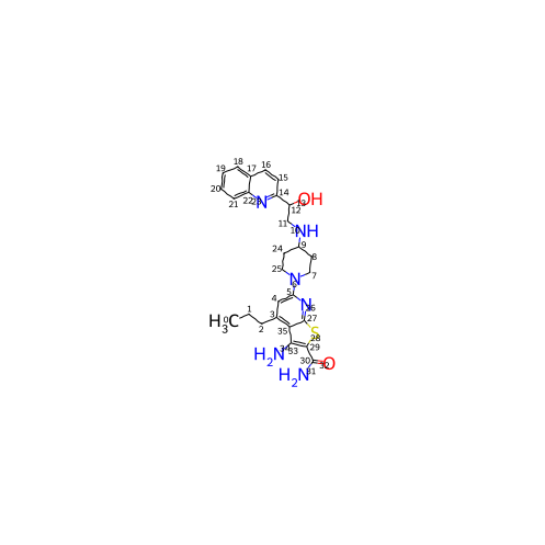 CCCc1cc(N2CCC(NCC(O)c3ccc4ccccc4n3)CC2)nc2sc(C(N)=O)c(N)c12